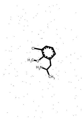 COc1c(Cl)cccc1CC(C)N